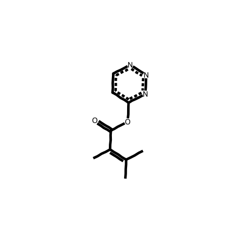 CC(C)=C(C)C(=O)Oc1ccnnn1